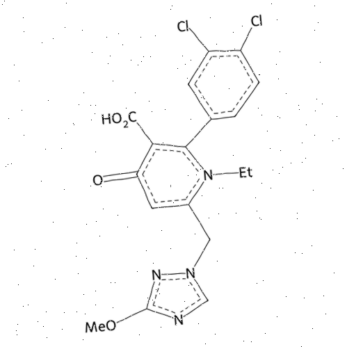 CCn1c(Cn2cnc(OC)n2)cc(=O)c(C(=O)O)c1-c1ccc(Cl)c(Cl)c1